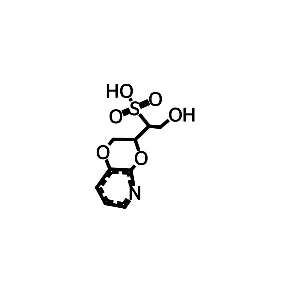 O=S(=O)(O)C(CO)C1COc2cccnc2O1